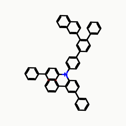 c1ccc(-c2ccc(N(c3ccc(-c4ccc(-c5ccccc5)c(-c5ccc6ccccc6c5)c4)cc3)c3ccc(-c4ccccc4)cc3-c3ccccc3)cc2)cc1